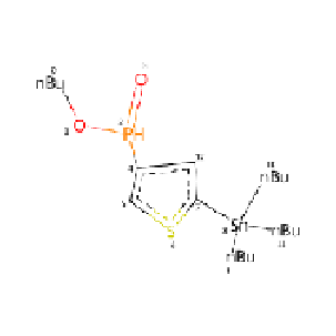 CCCCO[PH](=O)c1cs[c]([Sn]([CH2]CCC)([CH2]CCC)[CH2]CCC)c1